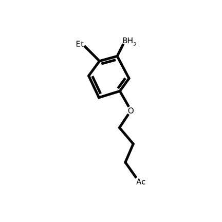 Bc1cc(OCCCC(C)=O)ccc1CC